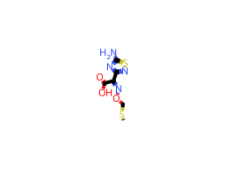 CSCON=C(C(=O)O)c1nsc(N)n1